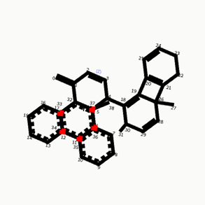 C=C(/C=C\C(Nc1ccccc1-c1ccccc1)C1=C2C3=C(CCC=C3)C2(C)C=CC1C)c1ccccc1C